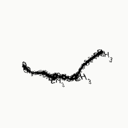 Cc1cc(OCc2ccc(COc3ccc(OCCCCCCCCCCCCOCCC4(C)CO4)c(C)c3)cc2)ccc1OCCCCCCCCCCCCOCCC1(C)CO1